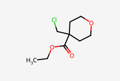 CCOC(=O)C1(CCl)CCOCC1